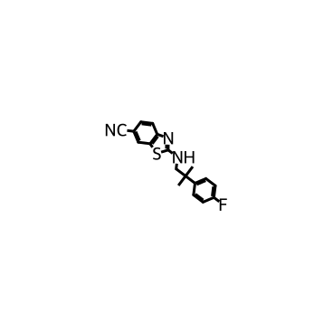 CC(C)(CNc1nc2ccc(C#N)cc2s1)c1ccc(F)cc1